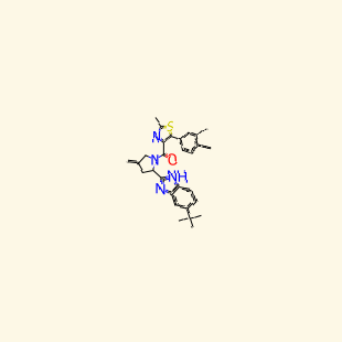 C=C1CC(c2nc3cc(C(C)(C)C)ccc3[nH]2)N(C(=O)c2nc(C)sc2-c2ccc(C)c(C)c2)C1